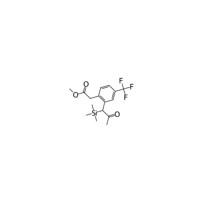 COC(=O)Cc1ccc(C(F)(F)F)cc1C(C(C)=O)[Si](C)(C)C